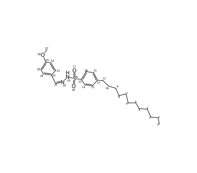 CCCCCCCCCCCCc1ccc(S(=O)(=O)N/N=C\c2ccc(OC)cc2)cc1